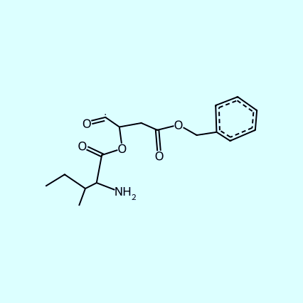 CCC(C)C(N)C(=O)OC([C]=O)CC(=O)OCc1ccccc1